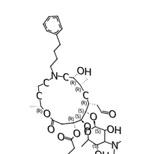 CCC(=O)O[C@@H]1CC(=O)O[C@H](C)CCCN(CCCCc2ccccc2)C[C@H](O)[C@H](C)C[C@H](CC=O)[C@H](O[C@@H]2OC(C)[C@@H](O)C(N(C)C)C2O)[C@H]1OC